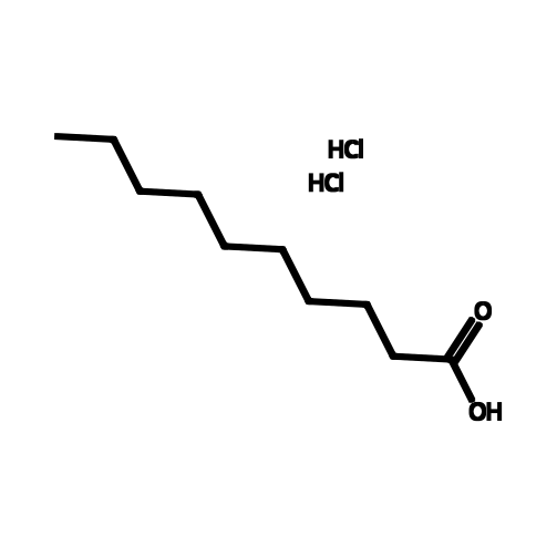 CCCCCCCCCC(=O)O.Cl.Cl